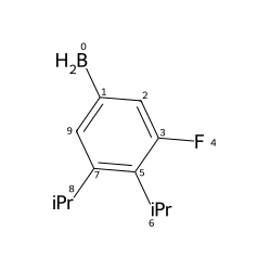 Bc1cc(F)c(C(C)C)c(C(C)C)c1